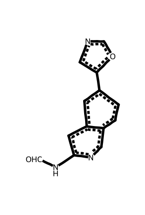 O=CNc1cc2cc(-c3cnco3)ccc2cn1